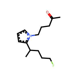 CC(=O)CCCn1cccc1C(C)CCCF